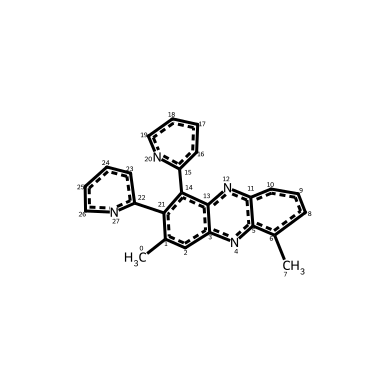 Cc1cc2nc3c(C)cccc3nc2c(-c2ccccn2)c1-c1ccccn1